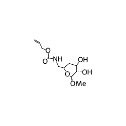 C=CCOC(=O)NCC1CC(O)[C@H](O)[C@@H](OC)O1